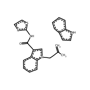 C=C(C)Cn1cc(C(=O)Nc2nccs2)c2ccccc21.c1ccc2[nH]ccc2c1